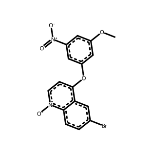 COc1cc(Oc2cc[n+]([O-])c3ccc(Br)cc23)cc([N+](=O)[O-])c1